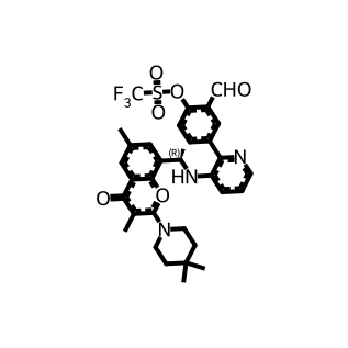 Cc1cc([C@@H](C)Nc2cccnc2-c2ccc(OS(=O)(=O)C(F)(F)F)c(C=O)c2)c2oc(N3CCC(C)(C)CC3)c(C)c(=O)c2c1